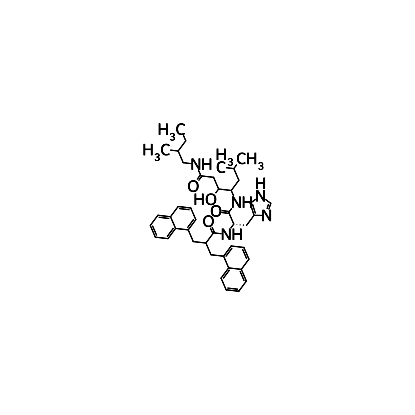 CCC(C)CNC(=O)CC(O)C(CC(C)C)NC(=O)[C@H](Cc1c[nH]cn1)NC(=O)C(Cc1cccc2ccccc12)Cc1cccc2ccccc12